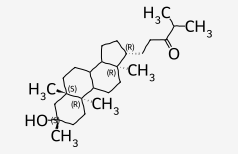 CC(C)C(=O)CC[C@H]1CCC2C3CC[C@@]4(C)C[C@@](C)(O)CC[C@]4(C)C3CC[C@@]21C